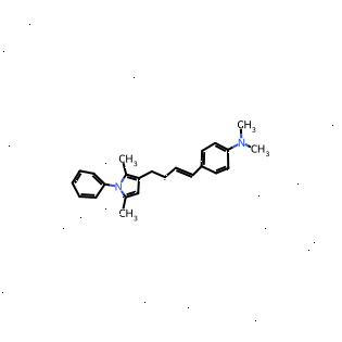 Cc1cc(C[CH]C=Cc2ccc(N(C)C)cc2)c(C)n1-c1ccccc1